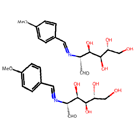 COc1ccc(C=N[C@@H](C=O)[C@@H](O)[C@H](O)[C@H](O)CO)cc1.COc1ccc(C=N[C@@H](C=O)[C@@H](O)[C@H](O)[C@H](O)CO)cc1